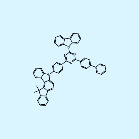 CC1(C)c2ccccc2-c2ccc3c(c21)c1ccccc1n3-c1ccc(-c2nc(-c3ccc(-c4ccccc4)cc3)nc(-n3c4ccccc4c4ccccc43)n2)cc1